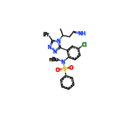 CCCCN(c1ccc(Cl)cc1-c1nnc(C(C)C)n1C(C)CC=N)S(=O)(=O)c1ccccc1